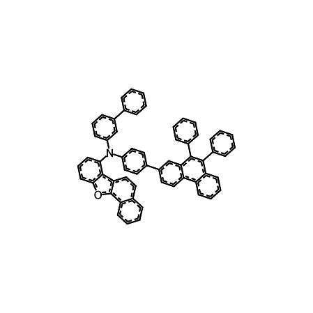 c1ccc(-c2cccc(N(c3ccc(-c4ccc5c(c4)c(-c4ccccc4)c(-c4ccccc4)c4ccccc45)cc3)c3cccc4oc5c6ccccc6ccc5c34)c2)cc1